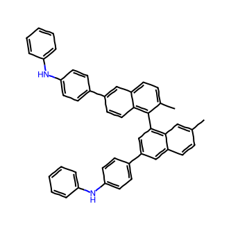 Cc1ccc2cc(-c3ccc(Nc4ccccc4)cc3)cc(-c3c(C)ccc4cc(-c5ccc(Nc6ccccc6)cc5)ccc34)c2c1